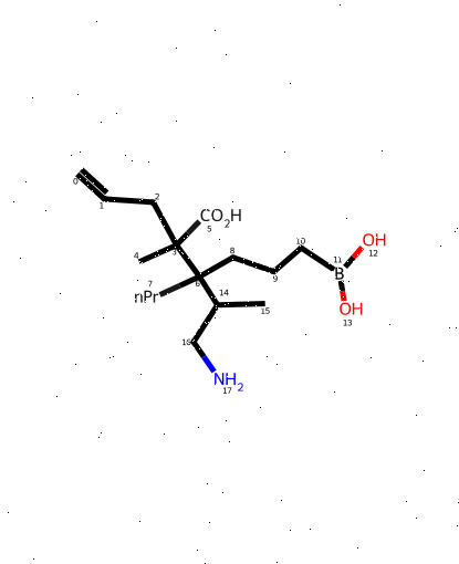 C=CCC(C)(C(=O)O)C(CCC)(CCCB(O)O)C(C)CN